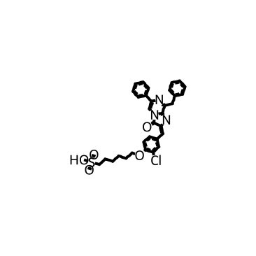 O=C1C(=Cc2ccc(OCCCCCCS(=O)(=O)O)c(Cl)c2)N=C2C(Cc3ccccc3)=NC(c3ccccc3)=CN12